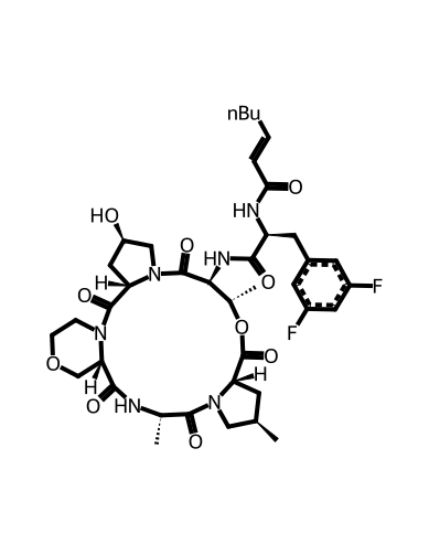 CCCC/C=C/C(=O)N[C@@H](Cc1cc(F)cc(F)c1)C(=O)N[C@@H]1C(=O)N2C[C@H](O)C[C@H]2C(=O)N2CCOC[C@H]2C(=O)N[C@@H](C)C(=O)N2C[C@H](C)C[C@H]2C(=O)O[C@H]1C